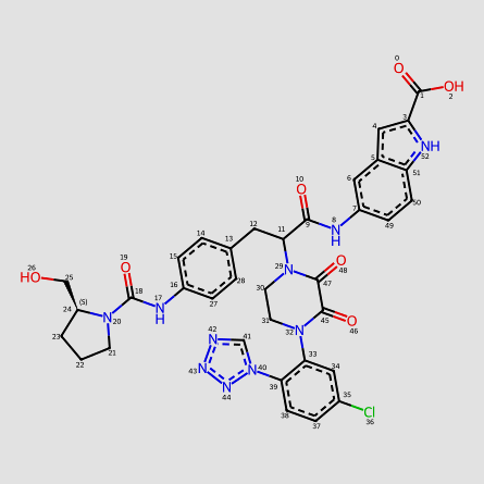 O=C(O)c1cc2cc(NC(=O)C(Cc3ccc(NC(=O)N4CCC[C@H]4CO)cc3)N3CCN(c4cc(Cl)ccc4-n4cnnn4)C(=O)C3=O)ccc2[nH]1